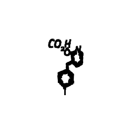 O=C(O)Oc1ncccc1Cc1ccc(I)cc1